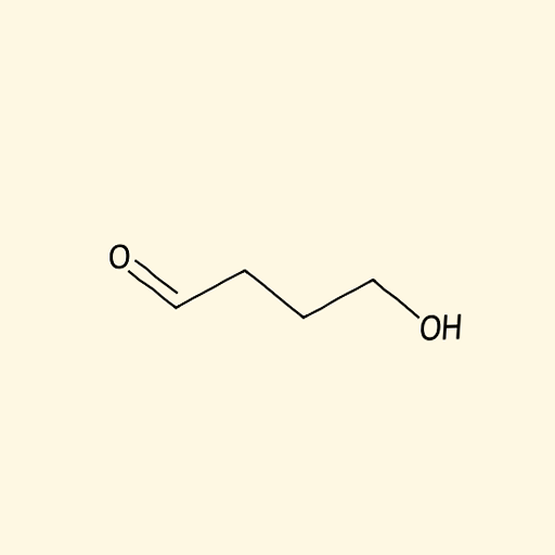 O=CCCCO